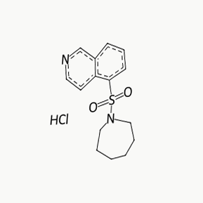 Cl.O=S(=O)(c1cccc2cnccc12)N1CCCCCC1